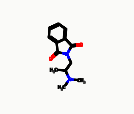 CC(CN1C(=O)c2ccccc2C1=O)N(C)C